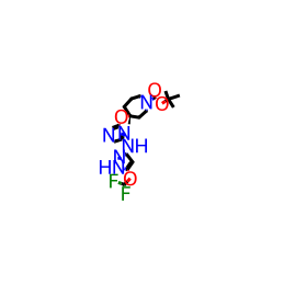 CC(C)(C)OC(=O)N1CCC[C@@](C)(Oc2cncc(Nc3cc(OC(F)F)[nH]n3)n2)CC1